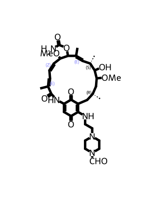 COC1/C=C\C=C(/C)C(=O)NC2=CC(=O)C(NCCN3CCN(C=O)CC3)=C(C[C@@H](C)CC(OC)C(O)[C@@H](C)/C=C(\C)C1OC(N)=O)C2=O